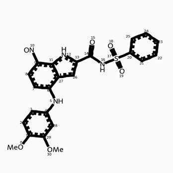 COc1ccc(Nc2ccc(N=O)c3[nH]c(C(=O)NS(=O)(=O)c4ccccc4)cc23)cc1OC